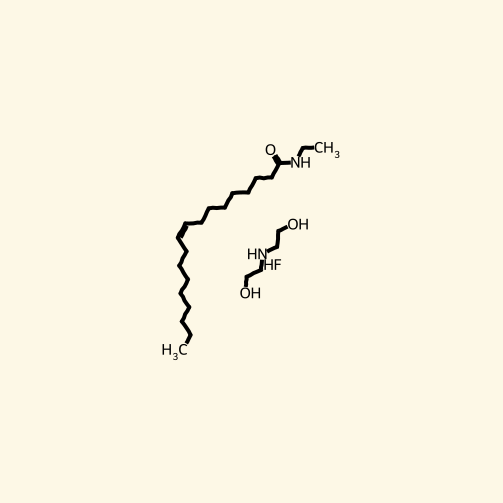 CCCCCCCC/C=C\CCCCCCCC(=O)NCC.F.OCCNCCO